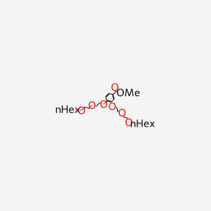 CCCCCCOCCOCCOc1ccc(C(=O)OC)cc1OCCOCCOCCCCCC